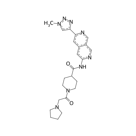 Cn1cc(-c2cc3cc(NC(=O)C4CCN(C(=O)CN5CCCC5)CC4)ncc3cn2)nn1